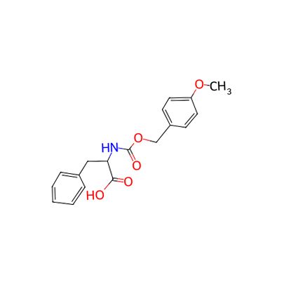 COc1ccc(COC(=O)NC(Cc2ccccc2)C(=O)O)cc1